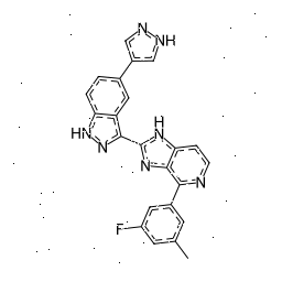 Cc1cc(F)cc(-c2nccc3[nH]c(-c4n[nH]c5ccc(-c6cn[nH]c6)cc45)nc23)c1